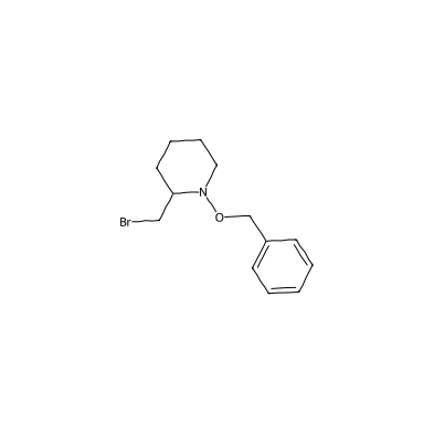 BrCC1CCCCN1OCc1ccccc1